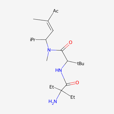 CCC(N)(CC)C(=O)NC(C(=O)N(C)C(/C=C(\C)C(C)=O)C(C)C)C(C)(C)C